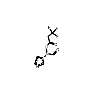 O=CN(OC(=O)CC(F)(F)F)n1ccnc1